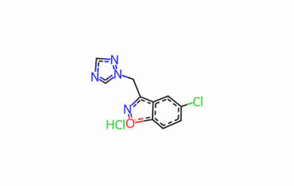 Cl.Clc1ccc2onc(Cn3cncn3)c2c1